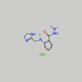 CN(C)NC(=O)c1ccccc1N(F)CC1=NCCN1.Cl